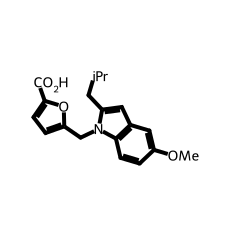 COc1ccc2c(c1)cc(CC(C)C)n2Cc1ccc(C(=O)O)o1